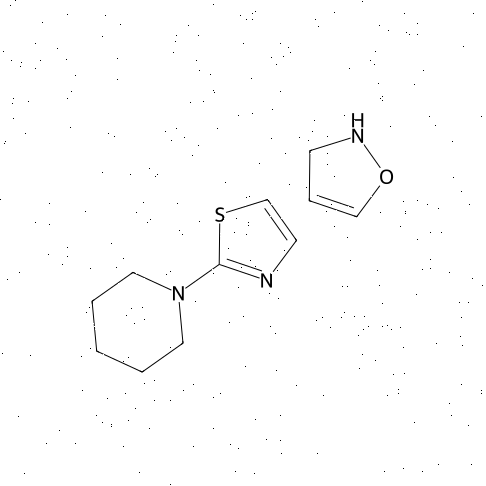 C1=CONC1.c1csc(N2CCCCC2)n1